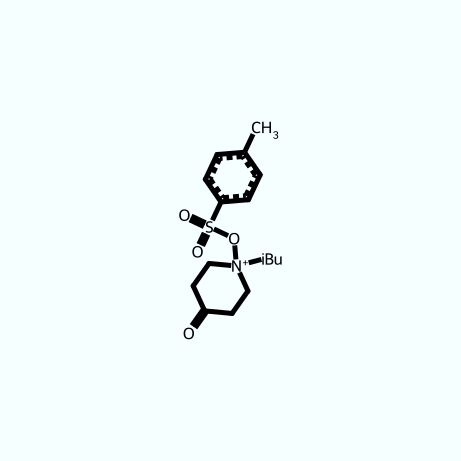 CCC(C)[N+]1(OS(=O)(=O)c2ccc(C)cc2)CCC(=O)CC1